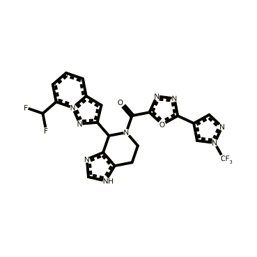 O=C(c1nnc(-c2cnn(C(F)(F)F)c2)o1)N1CCc2[nH]cnc2C1c1cc2cccc(C(F)F)n2n1